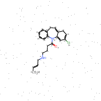 O=C(O)/C=C/CNCCCC(=O)N1C2=CC(Cl)=CCC2=CCc2ccccc21